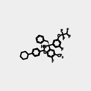 O=C(N[C@@](Cc1ccccc1)(c1cc(F)cc(OC(F)(F)C(F)F)c1)c1ccc(F)c(C(F)(F)F)c1)c1ccc(C2CCCCC2)cc1